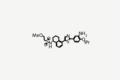 COCCS(=O)(=O)N[C@@H]1CCCc2c(-c3cnc(-c4ccc(OC(C)C)c(N)c4)s3)cccc21